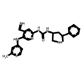 Cc1cc(Nc2cnc(NC(=O)NC3CNCC(c4ccccc4)C3)cc2C=N)ccn1